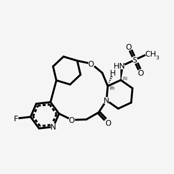 CS(=O)(=O)N[C@H]1CCCN2C(=O)COc3ncc(F)cc3C3CCC(CC3)OC[C@@H]12